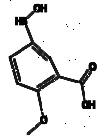 COc1ccc(BO)cc1C(=O)O